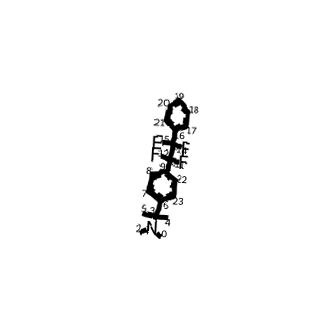 CN(C)C(C)(C)c1ccc(C(F)(F)C(F)(F)c2ccccc2)cc1